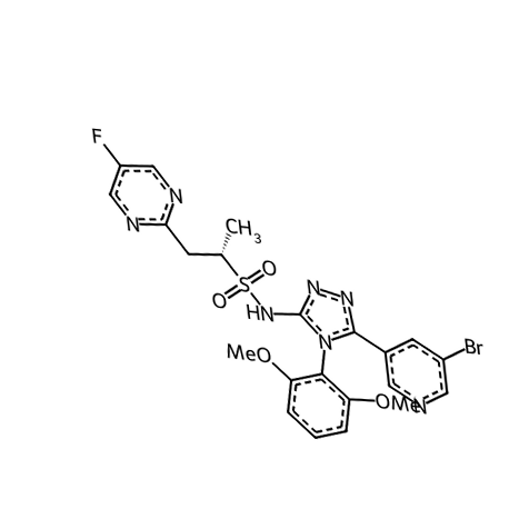 COc1cccc(OC)c1-n1c(NS(=O)(=O)[C@@H](C)Cc2ncc(F)cn2)nnc1-c1cncc(Br)c1